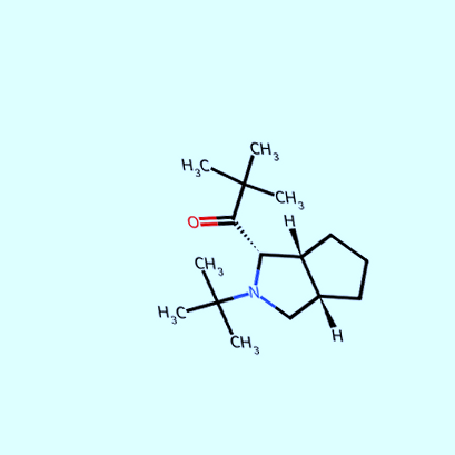 CC(C)(C)C(=O)[C@@H]1[C@@H]2CCC[C@@H]2CN1C(C)(C)C